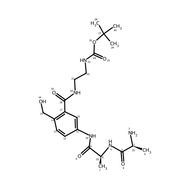 C[C@H](N)C(=O)N[C@@H](C)C(=O)Nc1ccc(CO)c(C(=O)NCCNC(=O)OC(C)(C)C)c1